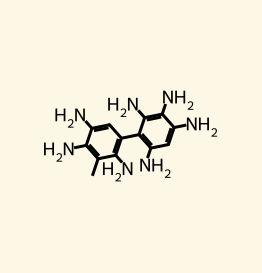 Cc1c(N)c(N)cc(-c2c(N)cc(N)c(N)c2N)c1N